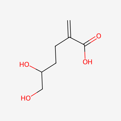 C=C(CCC(O)CO)C(=O)O